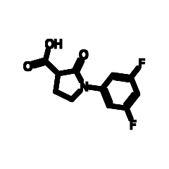 O=C(O)C1CCN(c2cc(F)cc(F)c2)C1=O